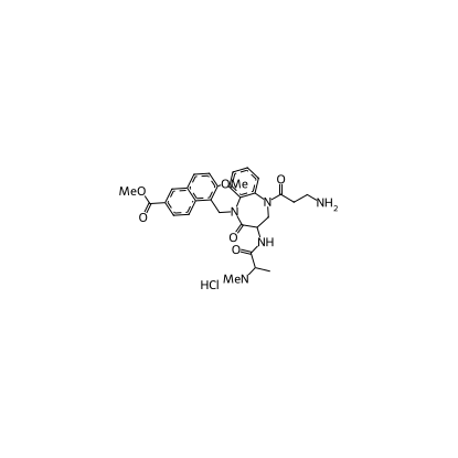 CNC(C)C(=O)NC1CN(C(=O)CCN)c2ccccc2N(Cc2c(OC)ccc3cc(C(=O)OC)ccc23)C1=O.Cl